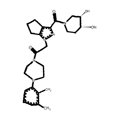 Cc1cccc(N2CCN(C(=O)Cn3nc(C(=O)N4CC[C@@H](O)[C@@H](O)C4)c4c3CCC4)CC2)c1C